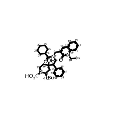 CC(C)(C)C1CC(O)(C(CN(Cc2cc3ccccc3n(CI)c2=O)C(=O)C2CCCCC2)c2ccccc2)CCN1C(=O)O